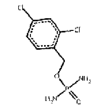 NP(N)(=O)OCc1ccc(Cl)cc1Cl